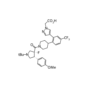 COc1ccc([C@@H]2CN(C(C)(C)C)C[C@@]2(F)C(=O)N2CCC(c3ccc(C(F)(F)F)cc3-c3cnn(CC(=O)O)c3)CC2)cc1